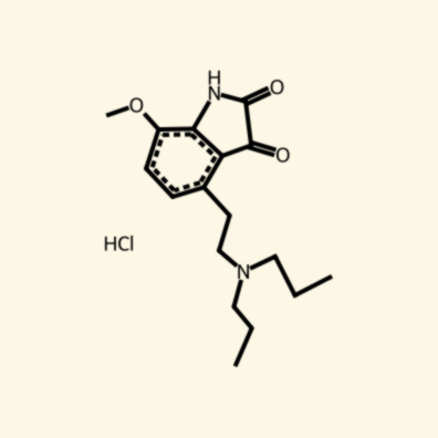 CCCN(CCC)CCc1ccc(OC)c2c1C(=O)C(=O)N2.Cl